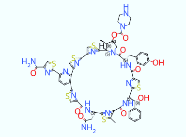 Cc1sc2nc1C(=O)N[C@@H]([C@H](O)c1ccccc1)c1nc(cs1)C(=O)N[C@@H](Cc1ccc(O)cc1)C(=O)N1C[C@H](OC(=O)N3CCNCC3)[C@H](C)[C@H]1c1nc(cs1)-c1nc(cs1)-c1nc(-c3nc(C(N)=O)cs3)ccc1-c1nc(cs1)C(=O)N[C@H]2CC(N)=O